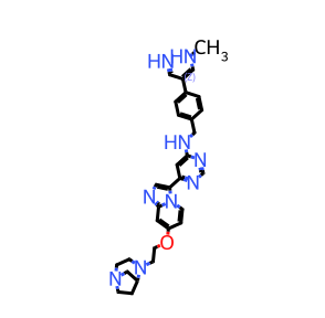 CN/C=C(\C=N)c1ccc(CNc2cc(-c3cnc4cc(OCCN5CCN6CCC5C6)ccn34)ncn2)cc1